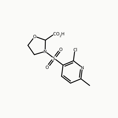 Cc1ccc(S(=O)(=O)N2CCOC2C(=O)O)c(Cl)n1